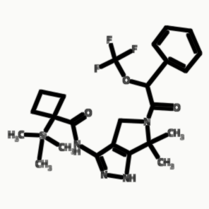 CC1(C)c2[nH]nc(NC(=O)C3([Si](C)(C)C)CCC3)c2CN1C(=O)C(OC(F)(F)F)c1ccccc1